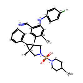 COC1CCN(S(=O)(=O)N2C[C@@H]3[C@@H](c4ccccc4)[C@]3(c3cc(C=N)c(Nc4ccc(F)cc4)cc3C)C2)CC1